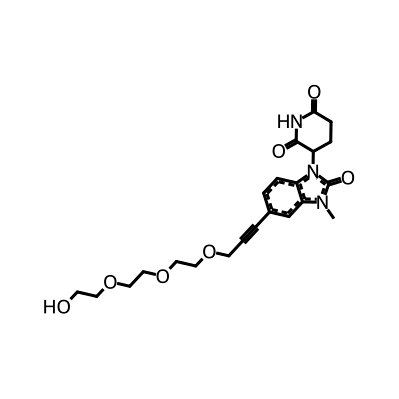 Cn1c(=O)n(C2CCC(=O)NC2=O)c2ccc(C#CCOCCOCCOCCO)cc21